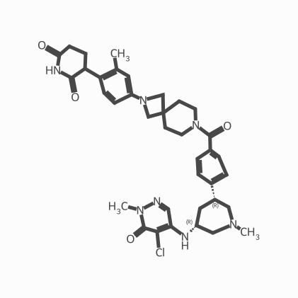 Cc1cc(N2CC3(CCN(C(=O)c4ccc([C@H]5C[C@@H](Nc6cnn(C)c(=O)c6Cl)CN(C)C5)cc4)CC3)C2)ccc1C1CCC(=O)NC1=O